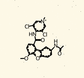 COc1ccc(C(=O)Nc2c(Cl)c[n+](C)cc2Cl)c2c1oc1ccc(NC(C)=O)cc12